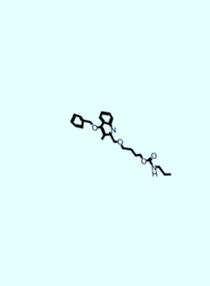 CCCNC(=O)OCCCCOCc1nc2ccccc2c(OCc2ccccc2)c1C